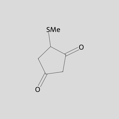 CSC1CC(=O)CC1=O